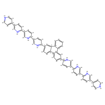 c1ccc2c(c1)c1cc(-c3ccc(-c4ccc(-c5ccc(-c6ccncc6)cn5)cn4)cn3)ccc1c1ccc(-c3ccc(-c4ccc(-c5ccc(-c6ccncc6)cn5)cn4)cn3)cc21